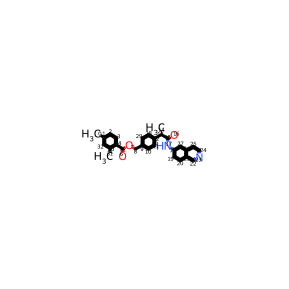 Cc1ccc(C(=O)OCc2ccc([C@H](C)C(=O)Nc3ccc4cnccc4c3)cc2)c(C)c1